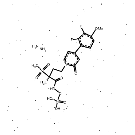 COc1ccc(-c2ccn(CC[C@](C)(C(=O)NOP(=O)(O)O)S(C)(=O)=O)c(=O)c2)c(F)c1F.N.N